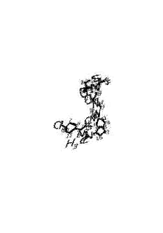 CN(c1nc(-c2ccc(Cl)cc2)c(C#N)s1)C1CCc2ccc(N3CCN(C(=O)CN4C(=O)CSC4=S)CC3)cc21